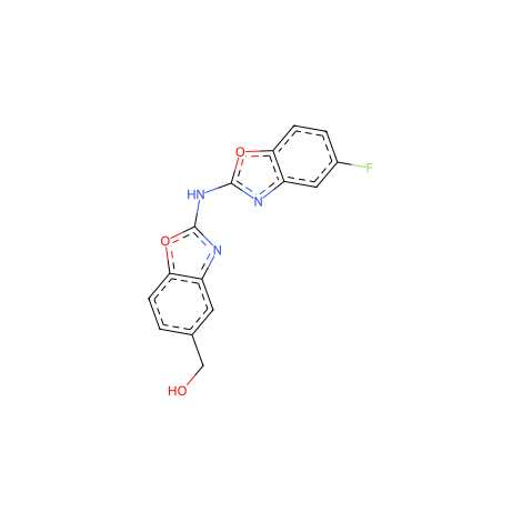 OCc1ccc2oc(Nc3nc4cc(F)ccc4o3)nc2c1